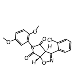 COc1ccc(OC)c(N2C(=O)[C@H]3C(c4ccccc4Cl)=NO[C@@H]3C2=O)c1